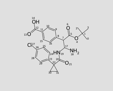 CC(C)(C)OC(=O)C(c1ccc(C(=O)O)cc1)C(N)NC(=O)C1(c2ccc(Cl)cc2)CC1